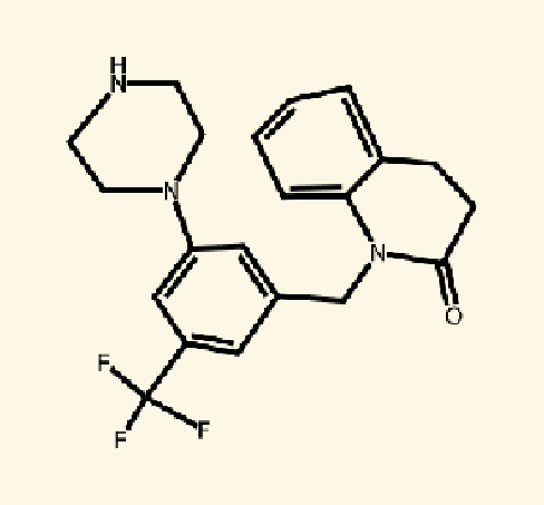 O=C1CCc2ccccc2N1Cc1cc(N2CCNCC2)cc(C(F)(F)F)c1